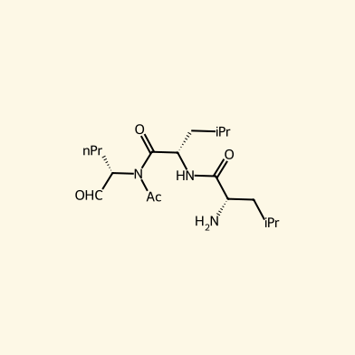 CCC[C@@H](C=O)N(C(C)=O)C(=O)[C@H](CC(C)C)NC(=O)[C@@H](N)CC(C)C